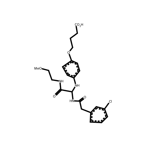 COCCNC(=O)C(NC(=O)Cc1cccc(Cl)c1)Nc1ccc(OCCCC(=O)O)cc1